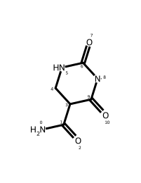 NC(=O)C1CNC(=O)[N]C1=O